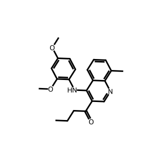 CCCC(=O)c1cnc2c(C)cccc2c1Nc1ccc(OC)cc1OC